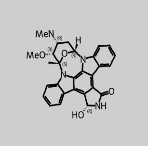 CN[C@@H]1C[C@H]2O[C@@](C)([C@@H]1OC)n1c3ccccc3c3c4c(c5c6ccccc6n2c5c31)C(=O)N[C@@H]4O